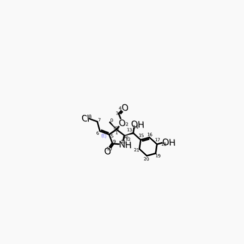 C[C@]1(OC=O)/C(=C\CCl)C(=O)N[C@@H]1C(O)C1=CC(O)CCC1